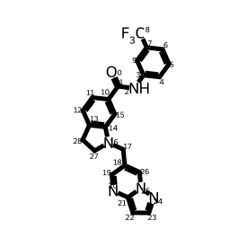 O=C(Nc1cccc(C(F)(F)F)c1)c1ccc2c(c1)N(Cc1cnc3ccnn3c1)CC2